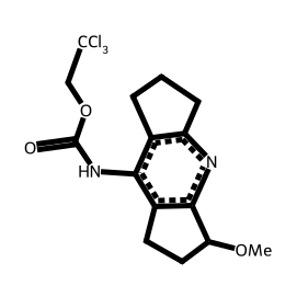 COC1CCc2c1nc1c(c2NC(=O)OCC(Cl)(Cl)Cl)CCC1